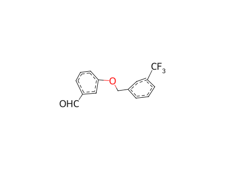 O=Cc1cccc(OCc2cccc(C(F)(F)F)c2)c1